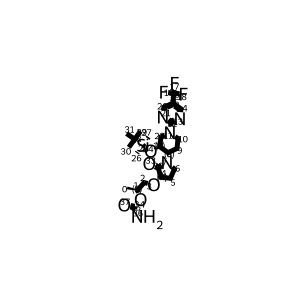 C[C@@H](CO[C@@H]1CCN([C@H]2CCN(c3ncc(C(F)(F)F)cn3)C[C@@H]2O[Si](C)(C)C(C)(C)C)C1=O)OC(N)=O